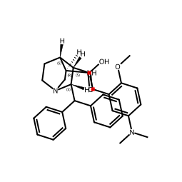 COc1ccc(N(C)C)cc1CN[C@H]1[C@H]2CCN(C[C@@H]2C(=O)O)[C@H]1C(c1ccccc1)c1ccccc1